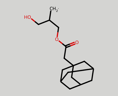 [CH2]C(CO)COC(=O)CC12CC3CC(CC(C3)C1)C2